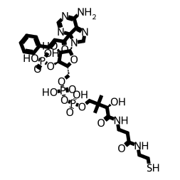 CC(C)(COP(=O)(O)OP(=O)(O)OC[C@H]1O[C@@H](N2CN=C3C(N)=NC=NC32C(=O)C=Cc2ccccc2)[C@H](O)[C@@H]1OP(=O)(O)O)[C@@H](O)C(=O)NCCC(=O)NCCS